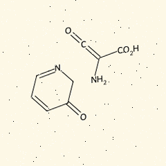 NC(=C=O)C(=O)O.O=C1C=CC=NC1